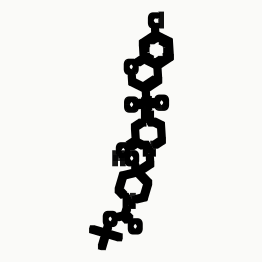 CC(C)(C)OC(=O)N1CCC(O)(CN2CCN(S(=O)(=O)C3=Cc4ccc(Cl)cc4OC3)CC2=O)CC1